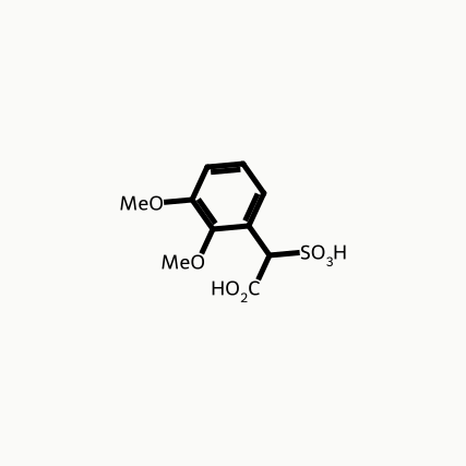 COc1cccc(C(C(=O)O)S(=O)(=O)O)c1OC